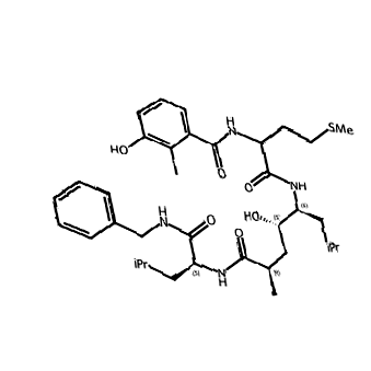 CSCCC(NC(=O)c1cccc(O)c1C)C(=O)N[C@@H](CC(C)C)[C@@H](O)C[C@@H](C)C(=O)N[C@@H](CC(C)C)C(=O)NCc1ccccc1